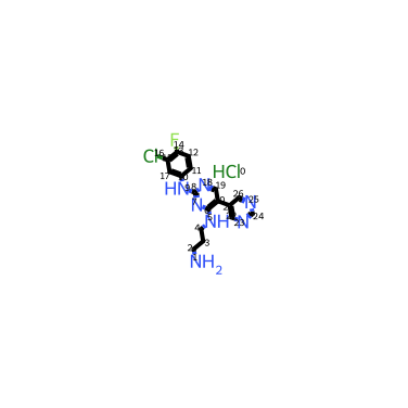 Cl.NCCCNc1nc(Nc2ccc(F)c(Cl)c2)ncc1-c1cncnc1